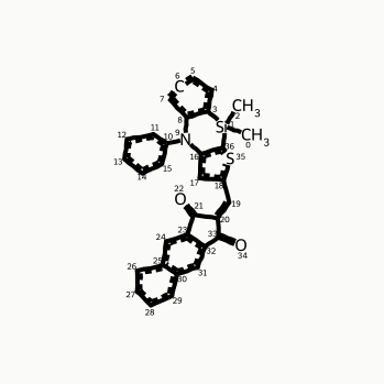 C[Si]1(C)c2ccccc2N(c2ccccc2)c2cc(C=C3C(=O)c4cc5ccccc5cc4C3=O)sc21